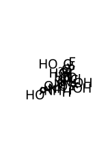 O=C(NCCN1CCN(C(=O)NC(C(=O)N[C@H]2Cc3ccc(F)c(C(=O)O)c3OB2O)c2cc(F)c(O)c(O)c2Cl)C1=O)Nc1cccc(O)c1